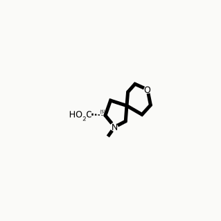 CN1CC2(CCOCC2)C[C@H]1C(=O)O